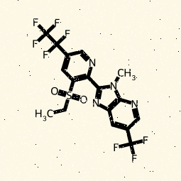 CCS(=O)(=O)c1cc(C(F)(F)C(F)(F)F)cnc1-c1nc2cc(C(F)(F)F)cnc2n1C